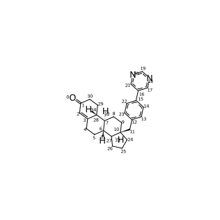 O=C1C=C2CC[C@@H]3[C@H](CC[C@]4(Cc5ccc(-c6cncnc6)cc5)CCC[C@@H]34)[C@H]2CC1